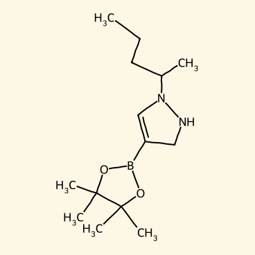 CCCC(C)N1C=C(B2OC(C)(C)C(C)(C)O2)CN1